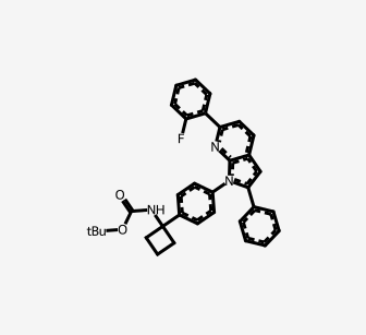 CC(C)(C)OC(=O)NC1(c2ccc(-n3c(-c4ccccc4)cc4ccc(-c5ccccc5F)nc43)cc2)CCC1